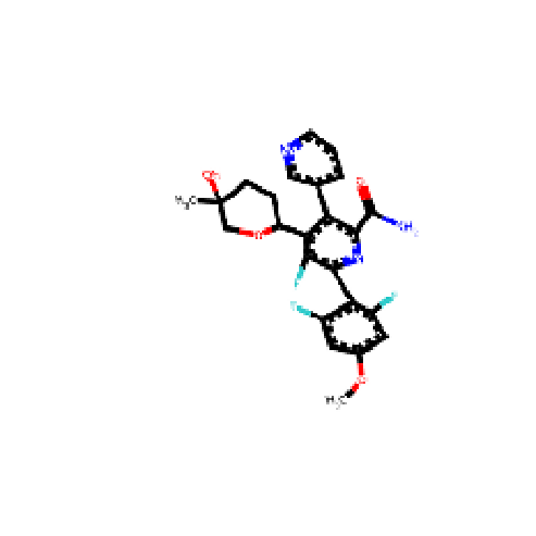 COc1cc(F)c(-c2nc(C(N)=O)c(-c3cccnc3)c(C3CCC(C)(O)CO3)c2F)c(F)c1